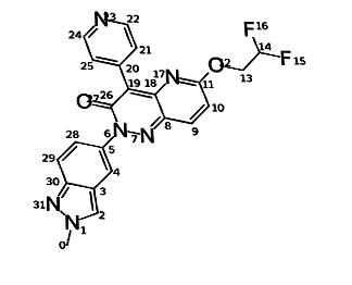 Cn1cc2cc(-n3nc4ccc(OCC(F)F)nc4c(-c4ccncc4)c3=O)ccc2n1